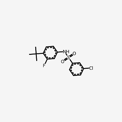 CC(C)(C)c1ccc(NS(=O)(=O)c2cccc(Cl)c2)cc1F